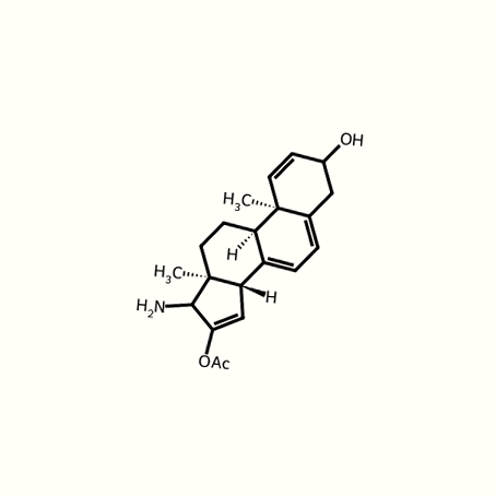 CC(=O)OC1=C[C@H]2C3=CC=C4CC(O)C=C[C@]4(C)[C@@H]3CC[C@]2(C)C1N